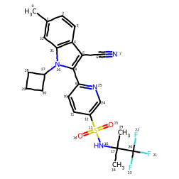 Cc1ccc2c(C#N)c(-c3ccc(S(=O)(=O)NC(C)(C)C(F)(F)F)cn3)n(C3CCC3)c2c1